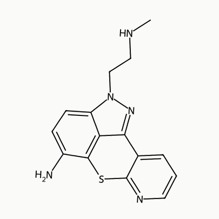 CNCCn1nc2c3c(c(N)ccc31)Sc1ncccc1-2